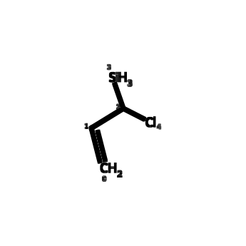 C=CC([SiH3])Cl